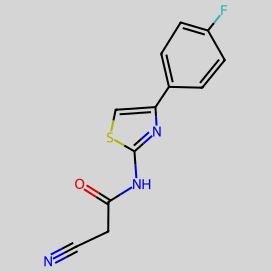 N#CCC(=O)Nc1nc(-c2ccc(F)cc2)cs1